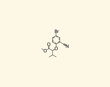 COC(=O)[C@@H](Oc1ccc(Br)cc1C#N)C(C)C